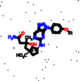 CCOc1ccc(-n2nnc3cnc(N[C@@H]4CC[C@](CC(C)(O)CC(N)=O)(C(=O)O)C4)nc32)cc1